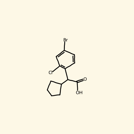 O=C(O)C(c1ccc(Br)cc1Cl)C1CCCC1